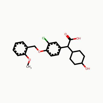 COc1ccccc1COc1ccc(C(C(=O)O)C2CCC(O)CC2)cc1Cl